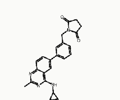 Cc1nc(NC2CC2)c2cc(-c3cccc(CN4C(=O)CCC4=O)c3)ccc2n1